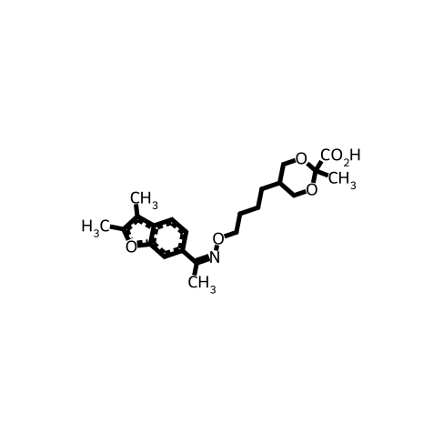 C/C(=N/OCCCCC1COC(C)(C(=O)O)OC1)c1ccc2c(C)c(C)oc2c1